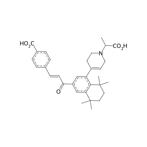 CC(C(=O)O)N1CC=C(c2cc(C(=O)C=Cc3ccc(C(=O)O)cc3)cc3c2C(C)(C)CCC3(C)C)CC1